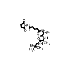 CCC(C)(C)CNC(=O)[C@H](C)NC(=O)[C@@H](NC(=O)CCCC(=O)ON1C(=O)CCC1=O)C(C)C